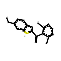 C=C(c1cc2ccc(CC)cc2s1)c1c(C)cccc1C